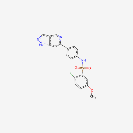 COc1ccc(F)c(S(=O)(=O)Nc2ccc(-c3cc4[nH]ncc4cn3)cc2)c1